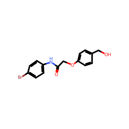 O=C(COc1ccc(CO)cc1)Nc1ccc(Br)cc1